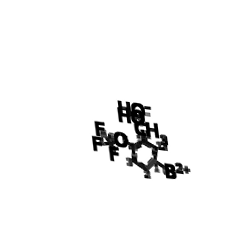 [B+2]c1ccc(OC(F)(F)F)c(C)c1.[OH-].[OH-]